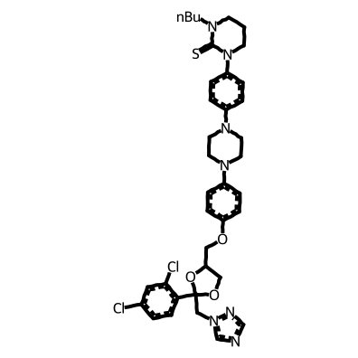 CCCCN1CCCN(c2ccc(N3CCN(c4ccc(OCC5COC(Cn6cncn6)(c6ccc(Cl)cc6Cl)O5)cc4)CC3)cc2)C1=S